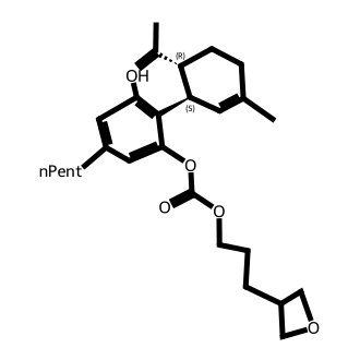 C=C(C)[C@@H]1CCC(C)=C[C@H]1c1c(O)cc(CCCCC)cc1OC(=O)OCCCC1COC1